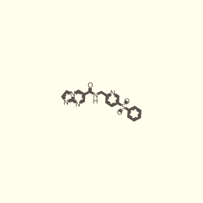 O=C(NCc1ccc(S(=O)(=O)c2ccccc2)cn1)c1cnc2nccn2c1